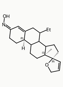 CCC1CC2=CC(=NO)CC[C@@H]2C2CC[C@@]3(C)C(CC[C@@]34C=CCO4)C12